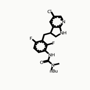 CCCCN(C)C(=O)Nc1ccc(F)c(CC2CNc3ncc(Cl)cc32)c1F